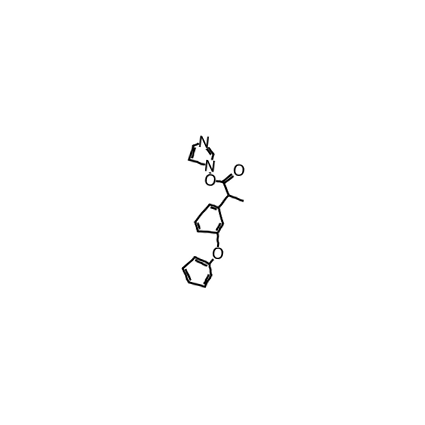 CC(C(=O)On1ccnc1)c1cccc(Oc2ccccc2)c1